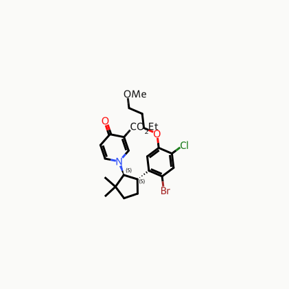 CCOC(=O)c1cn([C@H]2[C@H](c3cc(OCCCOC)c(Cl)cc3Br)CCC2(C)C)ccc1=O